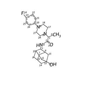 CC(C(=O)NC1C2CC3CC1CC(O)(C3)C2)N1CCN(c2ccc(F)cc2)CC1